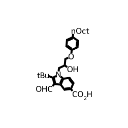 CCCCCCCCc1ccc(OCC(O)Cn2c(C(C)(C)C)c(C=O)c3cc(C(=O)O)ccc32)cc1